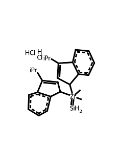 CC(C)C1=C[CH]([Zr]([CH3])([CH3])(=[SiH2])[CH]2C=C(C(C)C)c3ccccc32)c2ccccc21.Cl.Cl